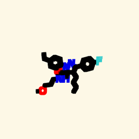 CCCCC1C(c2ccc(F)cc2)=NN(c2ccc(CC)cc2)C1(C)C(=O)NCCCOC